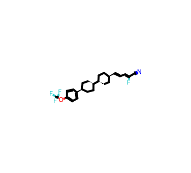 N#CC(F)=CC=C[C@H]1CC[C@H]([C@H]2CC[C@H](c3ccc(OC(F)(F)F)cc3)CC2)CC1